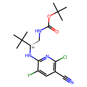 CC(C)(C)OC(=O)NC[C@H](Nc1nc(Cl)c(C#N)cc1F)C(C)(C)C